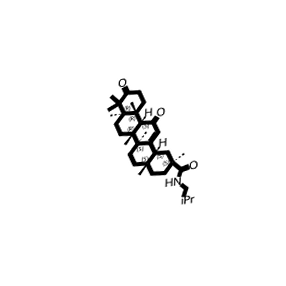 CC(C)CNC(=O)[C@@]1(C)CC[C@]2(C)CC[C@]3(C)C(=CC(=O)[C@@H]4[C@@]5(C)CCC(=O)C(C)(C)[C@]5(C)CC[C@]43C)[C@H]2C1